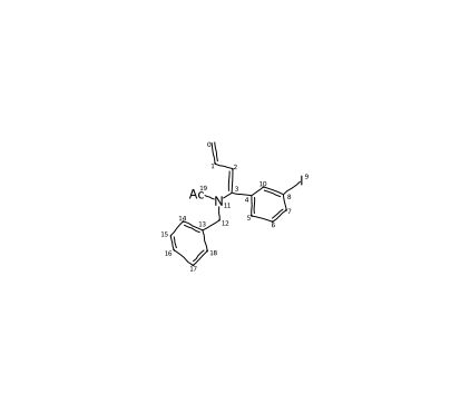 C=C/C=C(/c1cccc(I)c1)N(Cc1ccccc1)C(C)=O